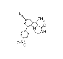 Cc1c2n(c3c(-c4ccc([N+](=O)[O-])cc4)cc(C#N)cc13)CCNC2=O